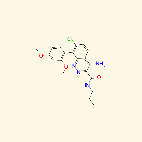 CCCNC(=O)c1nnc2c(-c3ccc(OC)cc3OC)c(Cl)ccc2c1N